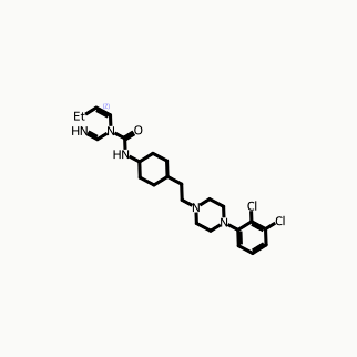 CC/C=C\N(C=N)C(=O)NC1CCC(CCN2CCN(c3cccc(Cl)c3Cl)CC2)CC1